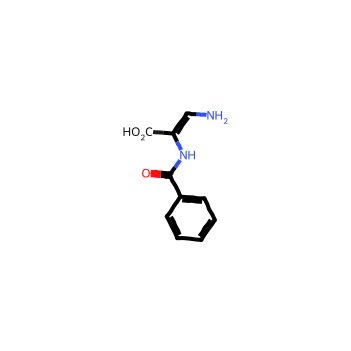 N/C=C(\NC(=O)c1ccccc1)C(=O)O